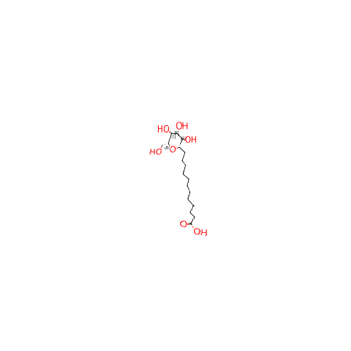 O=C(O)CCCCCCCCCCCC1O[C@H](CO)[C@@H](O)[C@H](O)[C@H]1O